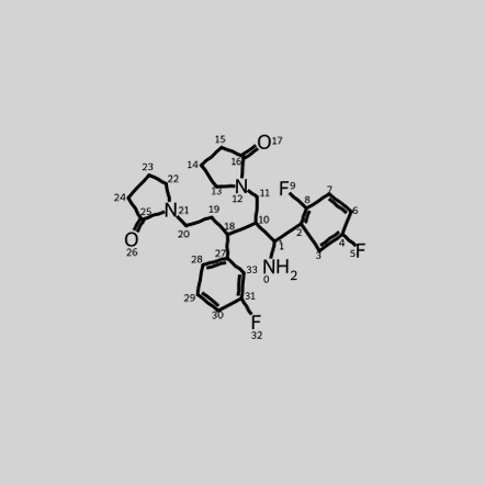 N[C](c1cc(F)ccc1F)C(CN1CCCC1=O)C(CCN1CCCC1=O)c1cccc(F)c1